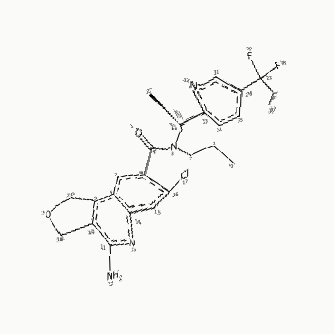 CCCN(C(=O)c1cc2c3c(c(N)nc2cc1Cl)COC3)[C@@H](C)c1ccc(C(F)(F)F)cn1